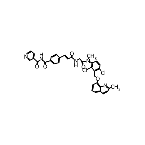 Cc1ccc2cccc(OCc3c(Cl)ccc(N(C)C(=O)CNC(=O)/C=C/c4ccc(C(=O)NC(=O)c5cccnc5)cc4)c3Cl)c2n1